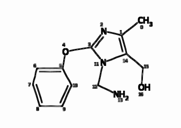 Cc1nc(Oc2ccccc2)n(CN)c1CO